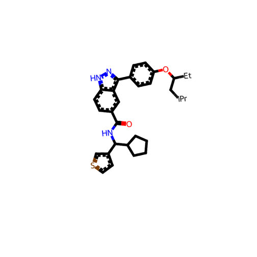 CCC(CC(C)C)Oc1ccc(-c2n[nH]c3ccc(C(=O)NC(c4ccsc4)C4CCCC4)cc23)cc1